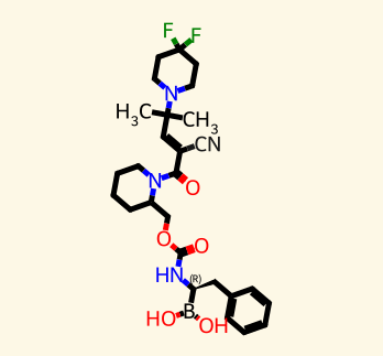 CC(C)(C=C(C#N)C(=O)N1CCCCC1COC(=O)N[C@@H](Cc1ccccc1)B(O)O)N1CCC(F)(F)CC1